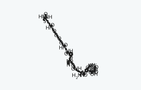 [N-]=[N+]=NCOC1C[C@H](n2cc(C#CCNC(=O)COCCOC(COc3cccc(C(=O)NCCNC(=O)CCOCCOCCOCCOCCNC(=O)CCCCC4SCC5NC(=O)NC54)c3)N=[N+]=[N-])c(N)nc2=O)C[C@@H]1COP(=O)(O)OP(=O)(O)OP(=O)(O)O